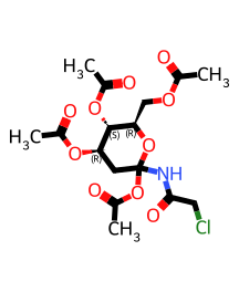 CC(=O)OC[C@H]1OC(NC(=O)CCl)(OC(C)=O)C[C@@H](OC(C)=O)[C@@H]1OC(C)=O